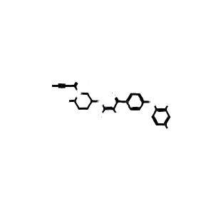 C=C(C#CC)N1CC(N/C(N)=C(/C=O)C(=N)c2ccc(Oc3ccc(Cl)cc3F)cc2)CCC1C